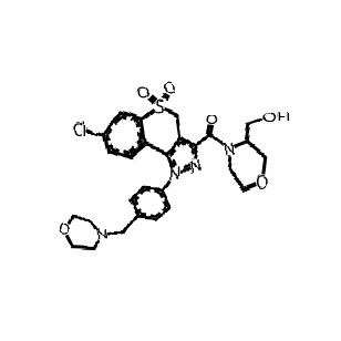 O=C(c1nn(-c2ccc(CN3CCOCC3)cc2)c2c1CS(=O)(=O)c1cc(Cl)ccc1-2)N1CCOCC1CO